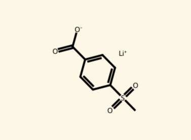 CS(=O)(=O)c1ccc(C(=O)[O-])cc1.[Li+]